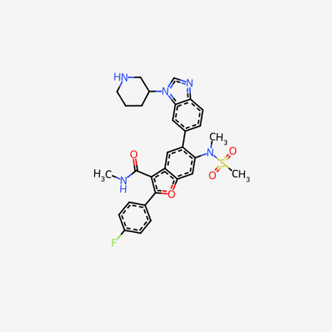 CNC(=O)c1c(-c2ccc(F)cc2)oc2cc(N(C)S(C)(=O)=O)c(-c3ccc4ncn(C5CCCNC5)c4c3)cc12